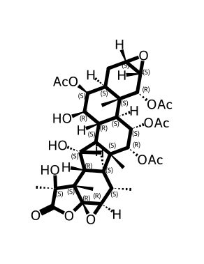 CC(=O)O[C@@H]1[C@H](O)[C@@H]2[C@H]([C@H](OC(C)=O)[C@H](OC(C)=O)[C@@]3(C)[C@H]2[C@@]2(O)C[C@@]34[C@H](C)[C@H]3O[C@]35OC(=O)[C@@](C)(O)[C@]5(C)[C@H]24)[C@]2(C)[C@@H]1C[C@@H]1O[C@@H]1[C@@H]2OC(C)=O